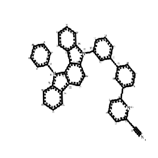 N#Cc1cccc(-c2cccc(-c3cccc(-n4c5ccccc5c5c4ccc4c6ccccc6n(-c6ccccc6)c45)c3)c2)n1